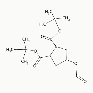 CC(C)(C)OC(=O)C1CC(OC=O)CN1C(=O)OC(C)(C)C